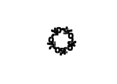 C[Si]1(C)CO[Si](C)(C)CO[Si](C)(C)CO[Si](C)(C)CO[Si](C)(C)CO1